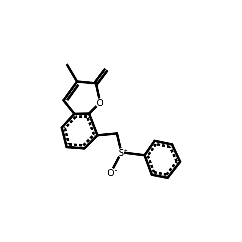 C=C1Oc2c(cccc2C[S+]([O-])c2ccccc2)C=C1C